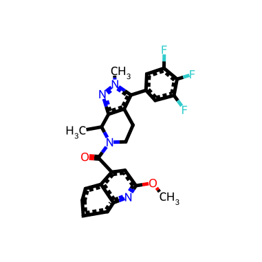 COc1cc(C(=O)N2CCc3c(nn(C)c3-c3cc(F)c(F)c(F)c3)C2C)c2ccccc2n1